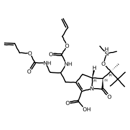 C=CCOC(=O)NCC(CC1=C(C(=O)O)N2C(=O)[C@H]([C@@](C)(O[SiH](C)C)C(C)(C)C)[C@H]2C1)NC(=O)OCC=C